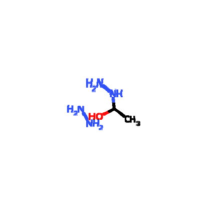 CC(O)NN.NN